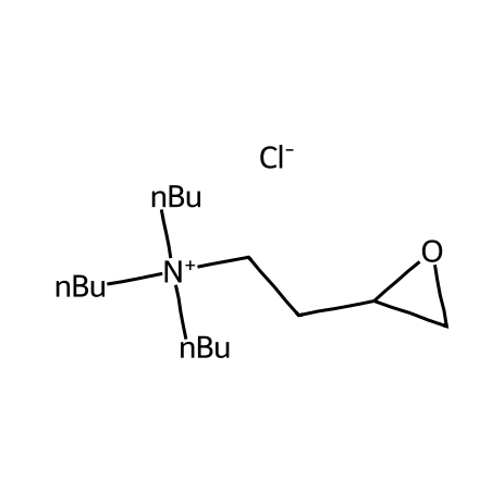 CCCC[N+](CCCC)(CCCC)CCC1CO1.[Cl-]